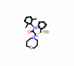 Br.Cc1cccc(C)c1NC(=O)[C@H](Cc1ccccc1)N1CCCCCCC1